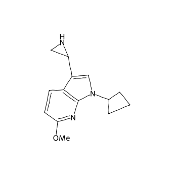 COc1ccc2c(C3CN3)cn(C3CCC3)c2n1